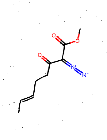 CC=CCCC(=O)C(=[N+]=[N-])C(=O)OC